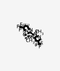 CCS(=O)(=O)c1c(-c2nc3cc(C(F)(F)F)cnc3n2C)nc2ccc(C(F)(F)F)cn12